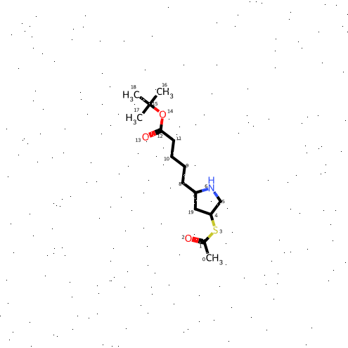 CC(=O)SC1CNC(CCCCC(=O)OC(C)(C)C)C1